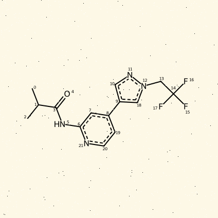 CC(C)C(=O)Nc1cc(-c2cnn(CC(F)(F)F)c2)ccn1